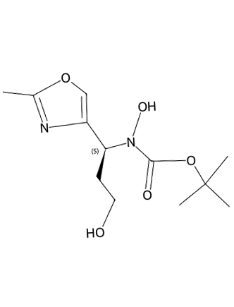 Cc1nc([C@H](CCO)N(O)C(=O)OC(C)(C)C)co1